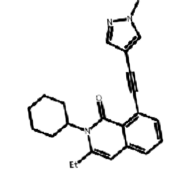 CCc1cc2cccc(C#Cc3cnn(C)c3)c2c(=O)n1C1CCCCC1